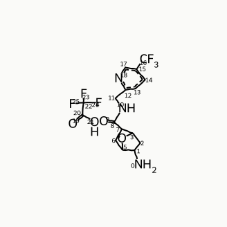 NC1CC2OC1CC2C(=O)NCc1ccc(C(F)(F)F)cn1.O=C(O)C(F)(F)F